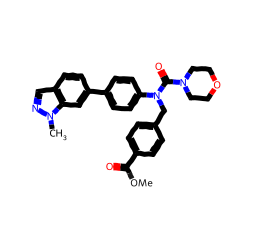 COC(=O)c1ccc(CN(C(=O)N2CCOCC2)c2ccc(-c3ccc4cnn(C)c4c3)cc2)cc1